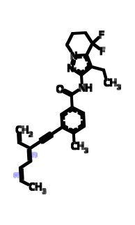 C=C/C(C#Cc1cc(C(=O)Nc2nn3c(c2CC)C(F)(F)CCC3)ccc1C)=C\C=C/C